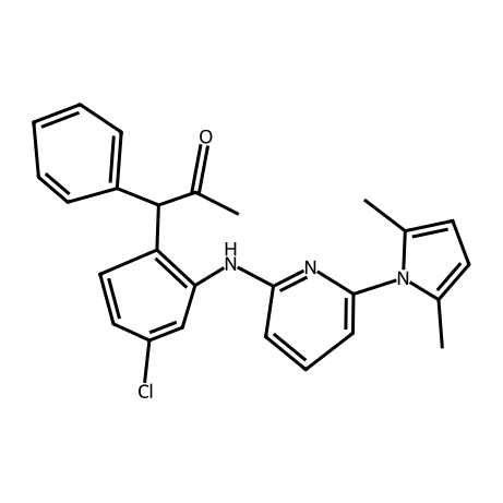 CC(=O)C(c1ccccc1)c1ccc(Cl)cc1Nc1cccc(-n2c(C)ccc2C)n1